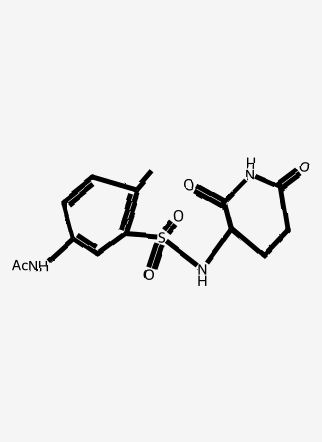 CC(=O)Nc1ccc(C)c(S(=O)(=O)NC2CCC(=O)NC2=O)c1